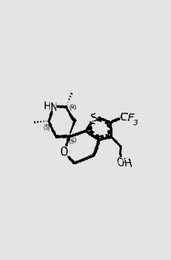 C[C@@H]1C[C@]2(C[C@H](C)N1)OCCc1c2sc(C(F)(F)F)c1CO